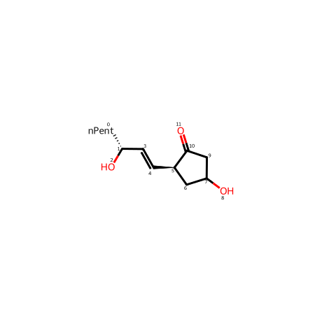 CCCCC[C@@H](O)/C=C/[C@@H]1CC(O)CC1=O